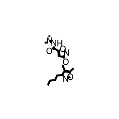 CCCCc1noc(C)c1COc1cc(C(=O)NN(C)C)on1